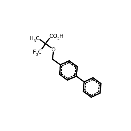 CC(OCc1ccc(-c2ccccc2)cc1)(C(=O)O)C(F)(F)F